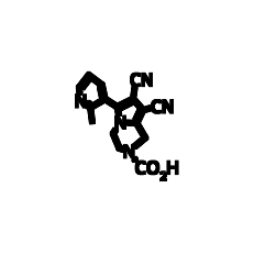 Cc1ncccc1-c1c(C#N)c(C#N)c2n1CCN(C(=O)O)C2